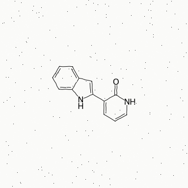 O=c1[nH]cccc1-c1cc2ccccc2[nH]1